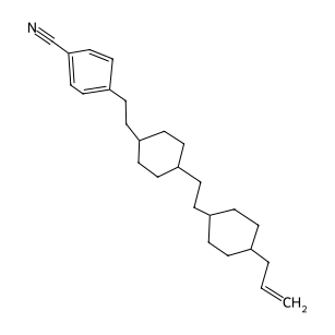 C=CCC1CCC(CCC2CCC(CCc3ccc(C#N)cc3)CC2)CC1